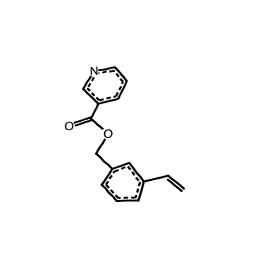 C=Cc1cccc(COC(=O)c2cccnc2)c1